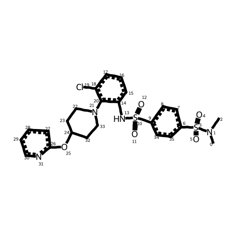 CN(C)S(=O)(=O)c1ccc(S(=O)(=O)Nc2cccc(Cl)c2N2CCC(Oc3ccccn3)CC2)cc1